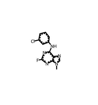 Cn1cnc2c(Nc3cccc(Cl)c3)nc(F)nc21